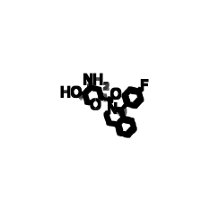 N[C@@H]1C[C@@H](C(=O)N2CCc3ccccc3[C@@H]2c2ccc(F)cc2)OC[C@@H]1O